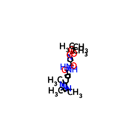 CCc1nn2c(C)cc(C)nc2c1Cc1ccc(C(=O)NNC(=O)C2CCN(OC(=O)OC(C)(C)C)CC2)cc1